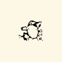 C[C@@H]1CCc2ncc(F)cc2C2CCCN2c2ccc3ncn(c3n2)C(=O)N1